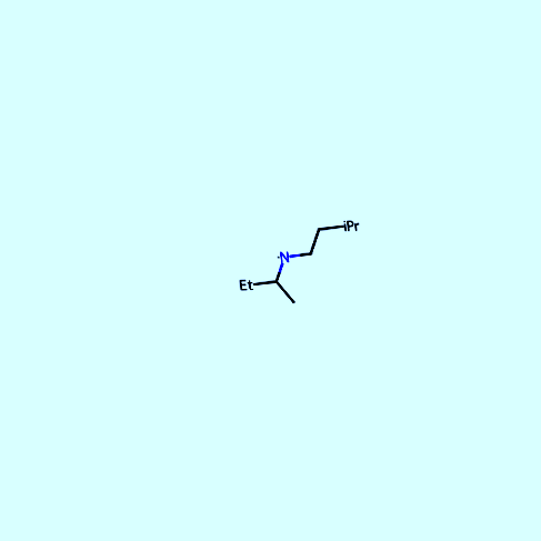 CCC(C)[N]CCC(C)C